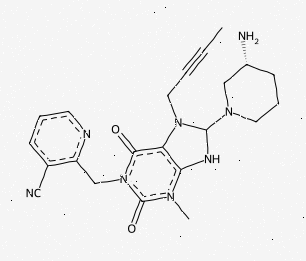 CC#CCN1c2c(n(C)c(=O)n(Cc3ncccc3C#N)c2=O)NC1N1CCC[C@@H](N)C1